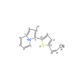 Cc1cc2ccccn2c1-c1ccc(/C=C\C#N)s1